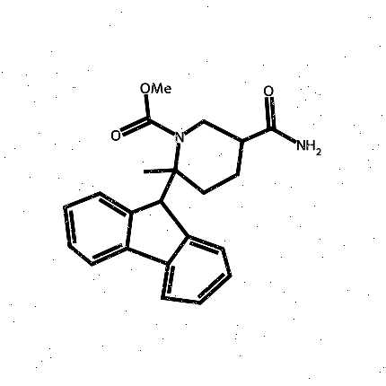 COC(=O)N1CC(C(N)=O)CCC1(C)C1c2ccccc2-c2ccccc21